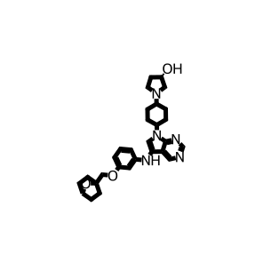 O[C@H]1CCN(C2CCC(n3cc(Nc4cccc(OCC56CCC(CC5)O6)c4)c4cncnc43)CC2)C1